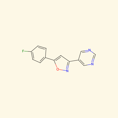 Fc1ccc(-c2cc(-c3cncnc3)no2)cc1